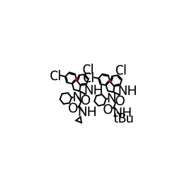 CC(C)(C)NC(=O)CN(C1CCCCC1)C1(Cc2cccc(Cl)c2)C(=O)Nc2cc(Cl)ccc21.O=C(CN(C1CCCCC1)C1(Cc2cccc(Cl)c2)C(=O)Nc2cc(Cl)ccc21)NC1CC1